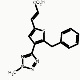 Cn1nnc(-c2cc(C=CC(=O)O)sc2Cc2ccccc2)n1